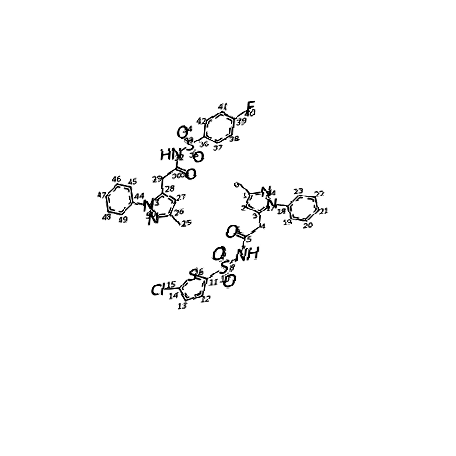 Cc1cc(CC(=O)NS(=O)(=O)c2ccc(Cl)s2)n(-c2ccccc2)n1.Cc1cc(CC(=O)NS(=O)(=O)c2ccc(F)cc2)n(-c2ccccc2)n1